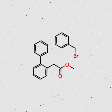 BrCc1ccccc1.COC(=O)Cc1ccccc1-c1ccccc1